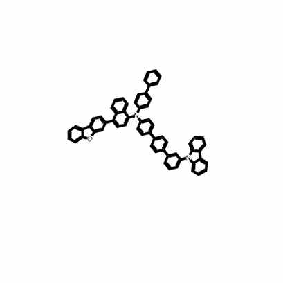 c1ccc(-c2ccc(N(c3ccc(-c4ccc(-c5cccc(-n6c7ccccc7c7ccccc76)c5)cc4)cc3)c3ccc(-c4ccc5c(c4)oc4ccccc45)c4ccccc34)cc2)cc1